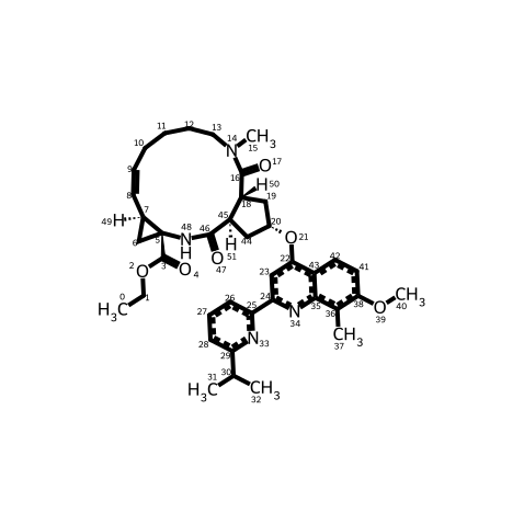 CCOC(=O)[C@@]12C[C@H]1/C=C\CCCCN(C)C(=O)[C@@H]1C[C@H](Oc3cc(-c4cccc(C(C)C)n4)nc4c(C)c(OC)ccc34)C[C@H]1C(=O)N2